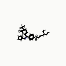 CCN(CC)CCCS(=O)(=O)c1ccc(/C(=C/C2CCCC2)c2ccc(C(F)(F)F)c(=O)[nH]2)cc1